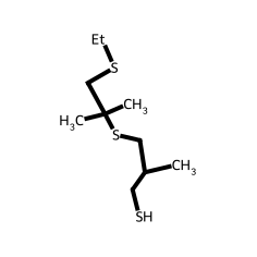 CCSCC(C)(C)SCC(C)CS